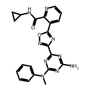 CN(c1ccccc1)c1nc(N)nc(-c2noc(-c3cccnc3C(=O)NC3CC3)n2)n1